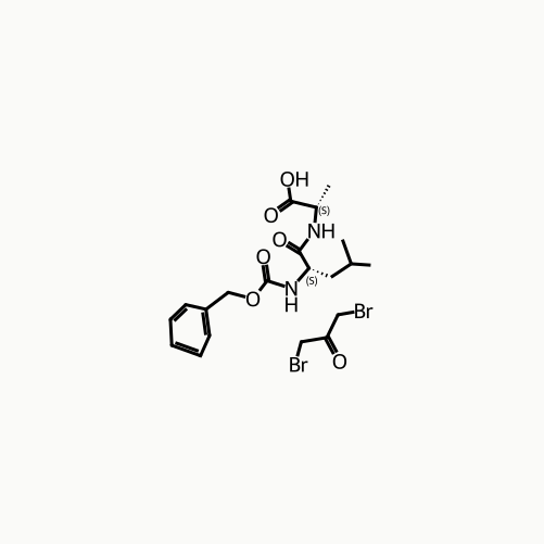 CC(C)C[C@H](NC(=O)OCc1ccccc1)C(=O)N[C@@H](C)C(=O)O.O=C(CBr)CBr